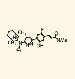 CNC(=O)/C=C/c1cc(O)c(-c2ccc(N(C3CC3)[C@H]3C[C@]4(C)CCC[C@](C)(C3)N4)nn2)cc1F